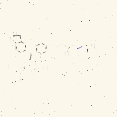 CN(C)C(=O)/C=C/CNCCOc1cc(F)c(C(=C2CC(C)(C)OC(C)(C)C2)c2ccc3[nH]ncc3c2)c(F)c1